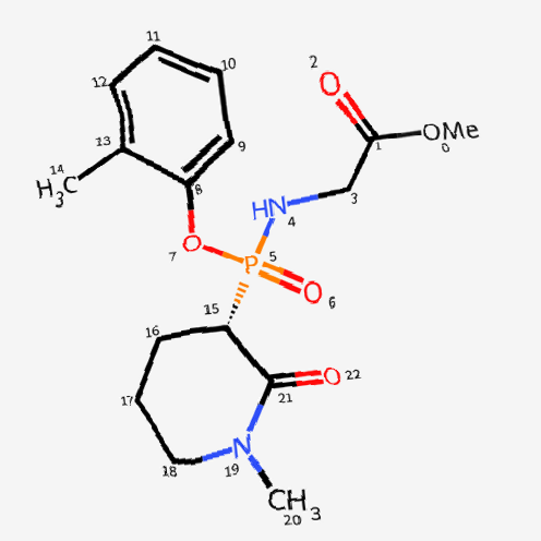 COC(=O)CNP(=O)(Oc1ccccc1C)[C@H]1CCCN(C)C1=O